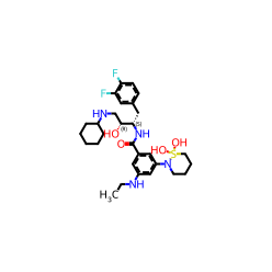 CCNc1cc(C(=O)N[C@@H](Cc2ccc(F)c(F)c2)[C@H](O)CNC2CCCCC2)cc(N2CCCCS2(O)O)c1